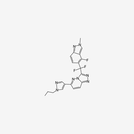 CCCn1cc(-c2ccc3nnc(C(F)(F)c4ccc5nn(C)cc5c4F)n3n2)cn1